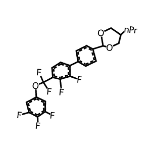 CCCC1COC(c2ccc(-c3ccc(C(F)(F)Oc4cc(F)c(F)c(F)c4)c(F)c3F)cc2)OC1